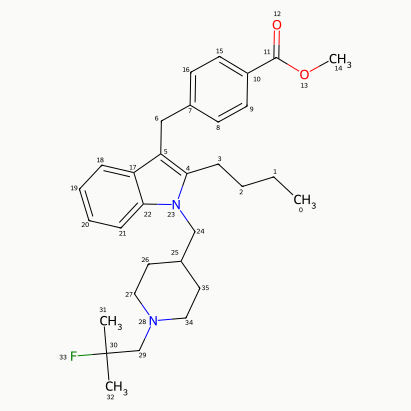 CCCCc1c(Cc2ccc(C(=O)OC)cc2)c2ccccc2n1CC1CCN(CC(C)(C)F)CC1